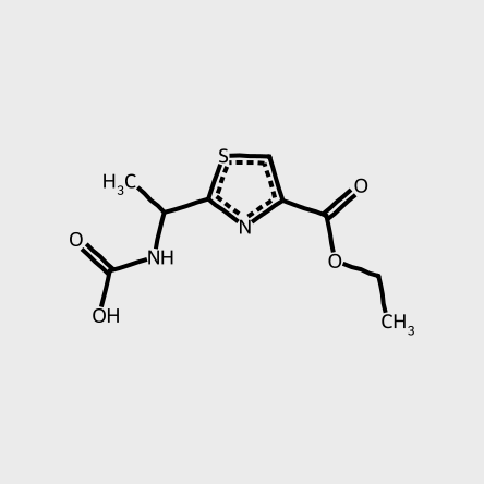 CCOC(=O)c1csc(C(C)NC(=O)O)n1